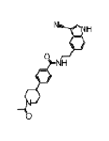 CC(=O)N1CCC(c2ccc(C(=O)NCCc3ccc4[nH]cc(C#N)c4c3)cc2)CC1